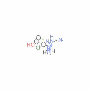 CN(C)CCCNc1nc(N2C[C@H]3CC[C@@H](C2)N3)c2cc(Cl)c(-c3cc(O)cc4ccccc34)c(F)c2n1